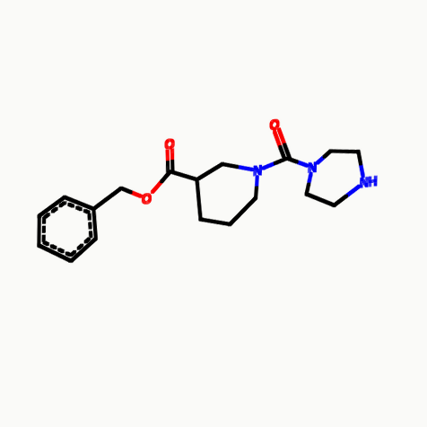 O=C(OCc1ccccc1)C1CCCN(C(=O)N2CCNCC2)C1